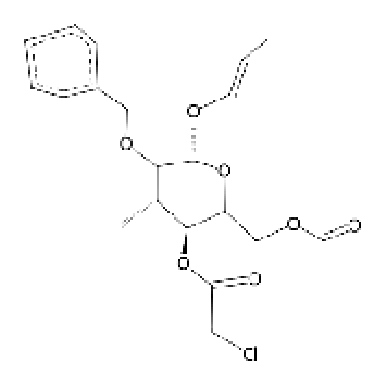 C/C=C/O[C@@H]1OC(COC=O)[C@@H](OC(=O)CCl)[C@H](C)C1OCc1ccccc1